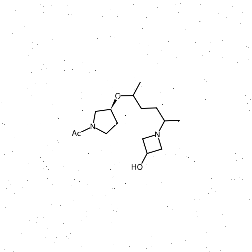 CC(=O)N1CC[C@H](OC(C)CCC(C)N2CC(O)C2)C1